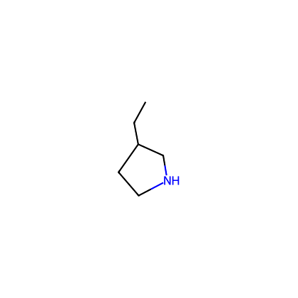 CCC1CCNC1